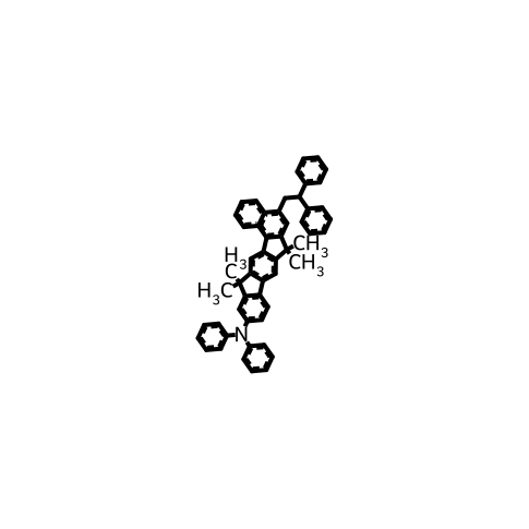 CC1(C)c2cc(N(c3ccccc3)c3ccccc3)ccc2-c2cc3c(cc21)-c1c(cc(CC(c2ccccc2)c2ccccc2)c2ccccc12)C3(C)C